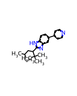 CC(C)C[C](c1nc2cc(-c3ccncc3)ccc2[nH]1)C(C)(C)C